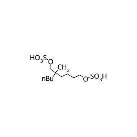 CCCCC(C)(CCCCOS(=O)(=O)O)COS(=O)(=O)O